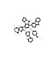 CC(C)(C)c1ccc(N2B3c4cc5c(cc4-n4c6cc7c(cc6c6c8c(c(c3c64)-c3cc4c(cc32)C(C)(C)c2ccccc2-4)C(C)(C)c2ccccc2-8)C(C)(C)CCC7(C)C)sc2ccccc25)cc1